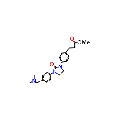 COC(=O)CCc1ccc(N2CCN(c3ccc(CN(C)C)cc3)C2=O)cc1